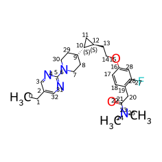 CCc1cnc(N2CCC([C@@H]3C[C@H]3CCOc3ccc(CC(=O)N(C)C)c(F)c3)CC2)nc1